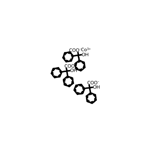 O=C([O-])C(O)(c1ccccc1)c1ccccc1.O=C([O-])C(O)(c1ccccc1)c1ccccc1.O=C([O-])C(O)(c1ccccc1)c1ccccc1.[Co+3]